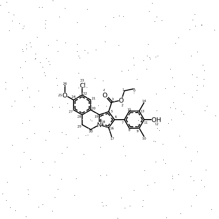 CCOC(=O)c1c(-c2cc(C)c(O)c(C)c2)c(C)n2c1-c1cc(Cl)c(OC)cc1CC2